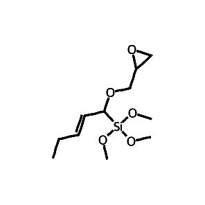 CC/C=C/C(OCC1CO1)[Si](OC)(OC)OC